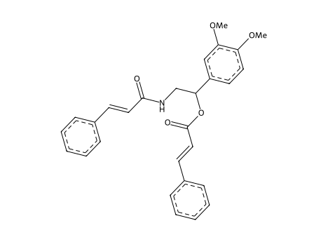 COc1ccc(C(CNC(=O)C=Cc2ccccc2)OC(=O)C=Cc2ccccc2)cc1OC